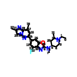 CCN1CC[C@H](N(C)c2nc3c(F)cc(-c4cc(C)c5nc(C)cn5n4)cc3o2)C[C@H]1C